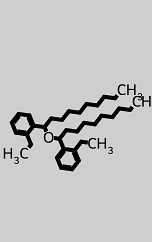 CCCCCCCCCC(OC(CCCCCCCCC)c1ccccc1CC)c1ccccc1CC